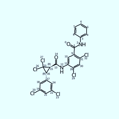 O=C(Nc1ccccc1)c1cc(NC(=O)[C@H]2[C@H](c3cc(Cl)cc(Cl)c3)C2(Cl)Cl)c(Cl)cc1Cl